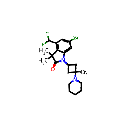 CC1(C)C(=O)N(C2CC(C#N)(N3CCCCC3)C2)c2cc(Br)cc(C(F)F)c21